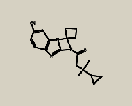 CC(C)(CC(=O)N1c2nc3ccc(C#N)cc3n2C12CCC2)C1CC1